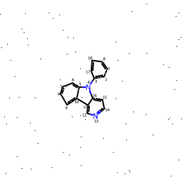 c1ccc(-n2c3ccccc3c3cnccc32)cc1